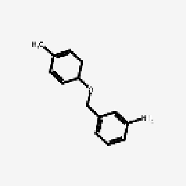 CC1=CCC(OCc2cccc(N)c2)C=C1